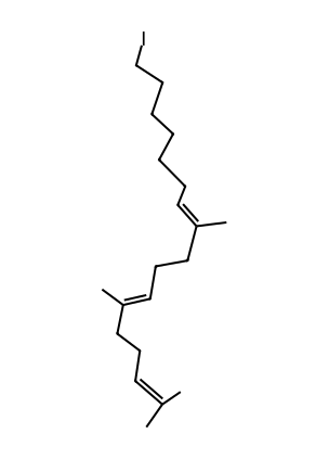 CC(C)=CCCC(C)=CCCC(C)=CCCCCCCI